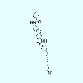 CCc1ccc(C(=O)Nc2ccc3c(c2)Cc2cc(NC(=O)c4ccc(CCCCCCCC[N+](C)(C)C)cc4)ccc2-3)cc1